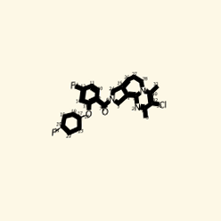 CC1=NC2=C3CN(C(=O)c4ccc(F)cc4O[C@H]4CC[C@@H](F)CC4)CC3=CCCN2C(C)=C1Cl